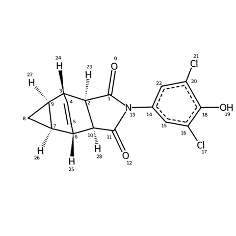 O=C1[C@@H]2[C@@H]3C=C[C@@H]([C@H]4C[C@@H]34)[C@@H]2C(=O)N1c1cc(Cl)c(O)c(Cl)c1